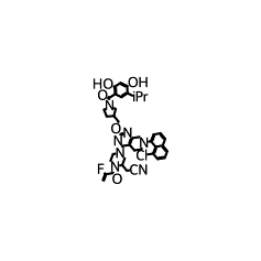 C=C(F)C(=O)N1CCN(c2nc(OCC3CCN(C(=O)c4cc(C(C)C)c(O)cc4O)C3)nc3c2CCN(c2cccc4cccc(Cl)c24)C3)CC1CC#N